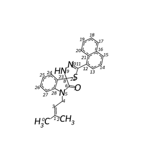 CC(C)=CCN1C(=O)C2(NN=C(c3cccc4ccccc34)S2)c2ccccc21